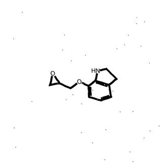 c1cc2c(c(OCC3CO3)c1)NCC2